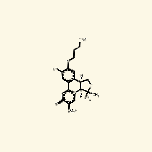 COCCCOc1cc2c(cc1Br)-c1cc(=O)c(C(=O)O)cn1[C@H]1[C@@H]2COC1(C)C